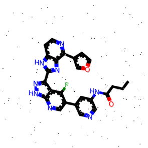 CCCC(=O)Nc1cncc(-c2cnc3[nH]nc(-c4nc5c(-c6ccoc6)nccc5[nH]4)c3c2F)c1